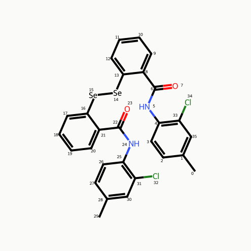 Cc1ccc(NC(=O)c2ccccc2[Se][Se]c2ccccc2C(=O)Nc2ccc(C)cc2Cl)c(Cl)c1